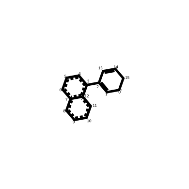 [CH]1C=C(c2cccc3ccccc23)C=CC1